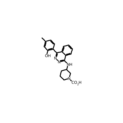 Cc1ccc(-c2nnc(NC3CCCN(C(=O)O)C3)c3ccccc23)c(O)c1